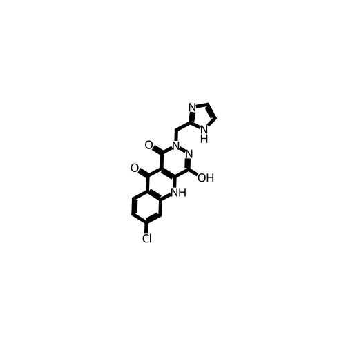 O=c1c2ccc(Cl)cc2[nH]c2c(O)nn(Cc3ncc[nH]3)c(=O)c12